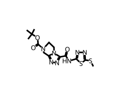 CSc1nnc(NC(=O)c2nnc3n2CCN(C(=O)OC(C)(C)C)C3)s1